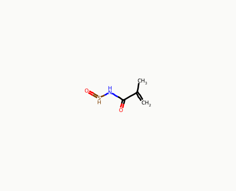 C=C(C)C(=O)N[SH]=O